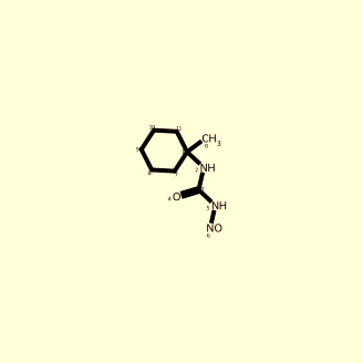 CC1(NC(=O)NN=O)CCCCC1